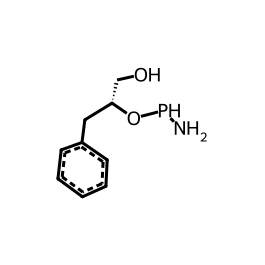 NPO[C@@H](CO)Cc1ccccc1